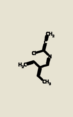 C=C=C(Cl)/N=C\C(C=C)=C/C